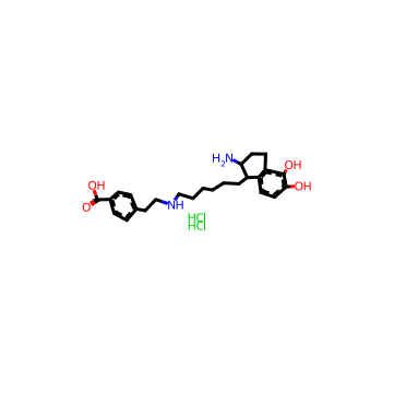 Cl.Cl.NC1CCc2c(ccc(O)c2O)C1CCCCCCNCCc1ccc(C(=O)O)cc1